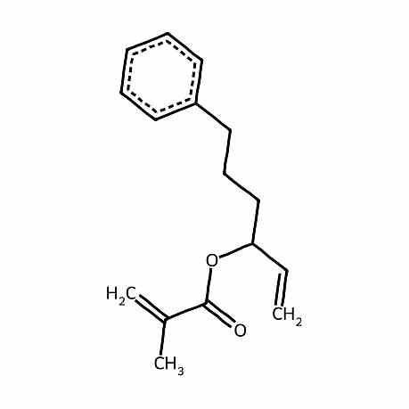 C=CC(CCCc1ccccc1)OC(=O)C(=C)C